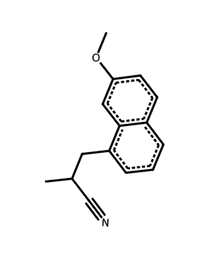 COc1ccc2cccc(CC(C)C#N)c2c1